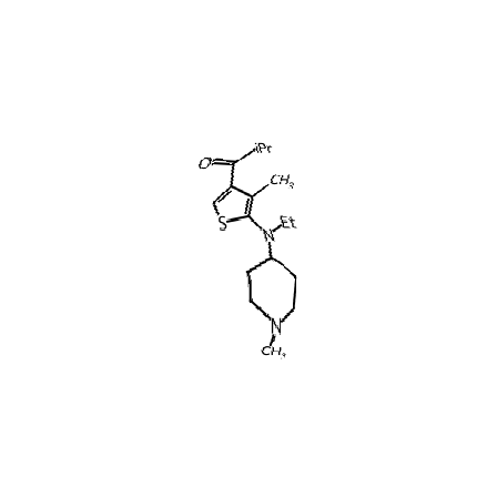 CCN(c1scc(C(=O)C(C)C)c1C)C1CCN(C)CC1